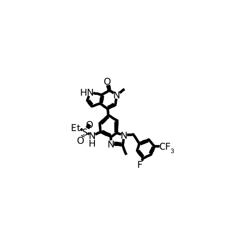 CCS(=O)(=O)Nc1cc(-c2cn(C)c(=O)c3[nH]ccc23)cc2c1nc(C)n2Cc1cc(F)cc(C(F)(F)F)c1